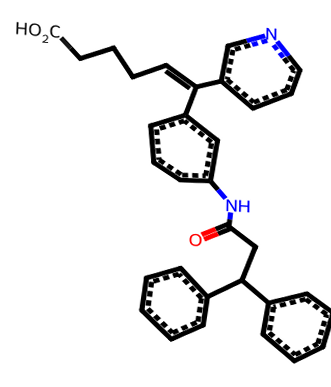 O=C(O)CCCC=C(c1cccnc1)c1cccc(NC(=O)CC(c2ccccc2)c2ccccc2)c1